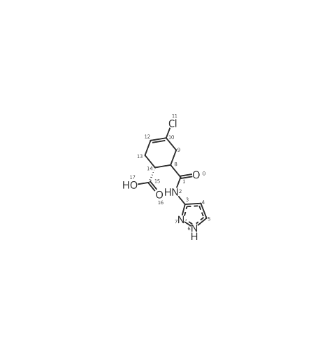 O=C(Nc1cc[nH]n1)C1CC(Cl)=CC[C@H]1C(=O)O